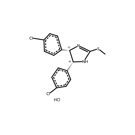 CSC1=N[C@@H](c2ccc(Cl)cc2)[C@@H](c2ccc(Cl)cc2)N1.Cl